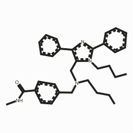 CCCCN(Cc1ccc(C(=O)NC)cc1)Cc1c(-c2ccccc2)nc(-c2ccccc2)n1CCCC